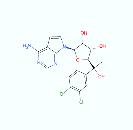 CC(O)(c1ccc(Cl)c(Cl)c1)[C@H]1O[C@@H](n2ccc3c(N)ncnc32)[C@H](O)[C@@H]1O